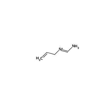 C=CC[N+]=CN